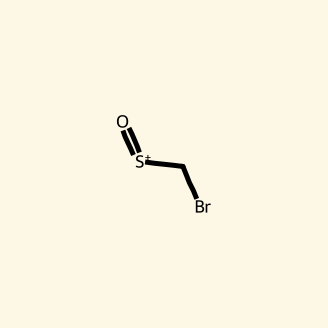 O=[S+]CBr